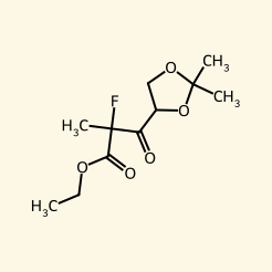 CCOC(=O)C(C)(F)C(=O)C1COC(C)(C)O1